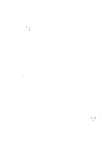 CCCC=C(C#N)C(=O)OCCCOC